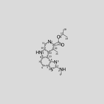 CNc1nc2c(ccc3[nH]c4cnc(C(=O)OC(C)C)c(C)c4c32)s1